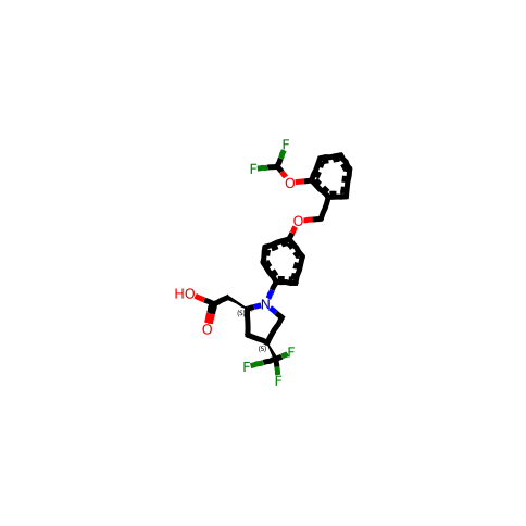 O=C(O)C[C@@H]1C[C@H](C(F)(F)F)CN1c1ccc(OCc2ccccc2OC(F)F)cc1